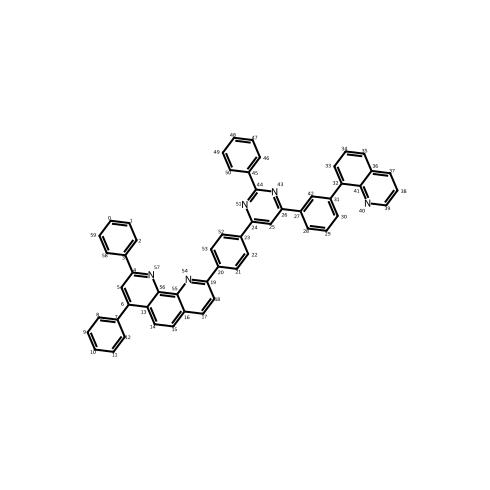 c1ccc(-c2cc(-c3ccccc3)c3ccc4ccc(-c5ccc(-c6cc(-c7cccc(-c8cccc9cccnc89)c7)nc(-c7ccccc7)n6)cc5)nc4c3n2)cc1